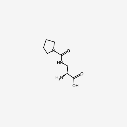 N[C@@H](CNC(=O)N1CCCC1)C(=O)O